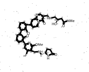 CNC(=O)C[C@@H](O)CNCc1cnc2cc(-c3cccc(-c4cccc(-c5cc(F)c(CNC[C@@H]6CCC(=O)N6)c(OC)n5)c4Cl)c3Cl)ccn2c1=O